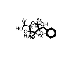 CC(=O)C(O)[C@H]1O[C@@](O)(C(C)=O)[C@](O)(Cc2ccccc2)[C@](O)(C(C)=O)[C@@]1(O)C(C)=O